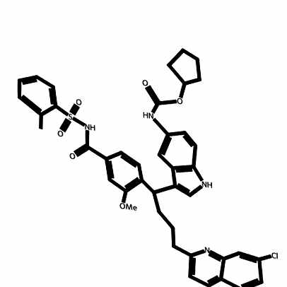 COc1cc(C(=O)NS(=O)(=O)c2ccccc2C)ccc1C(CCCc1ccc2ccc(Cl)cc2n1)c1c[nH]c2ccc(NC(=O)OC3CCCC3)cc12